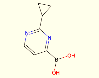 OB(O)c1ccnc(C2CC2)n1